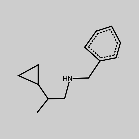 CC(CNCc1[c]cccc1)C1CC1